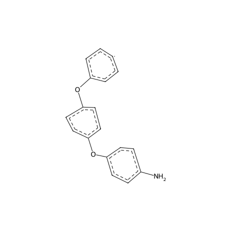 Nc1ccc(Oc2ccc(Oc3cc[c]cc3)cc2)cc1